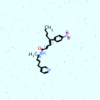 CCCC/C(=C\C=C\C(=O)N[C@H](C)CCCc1cccnc1)c1ccc([N+](=O)[O-])cc1